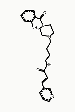 Nc1ccccc1C(=O)N1CCN(CCCCNC(=O)C=Cc2cccnc2)CC1